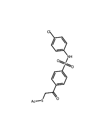 CC(=O)SCC(=O)c1ccc(S(=O)(=O)Nc2ccc(Cl)cc2)cc1